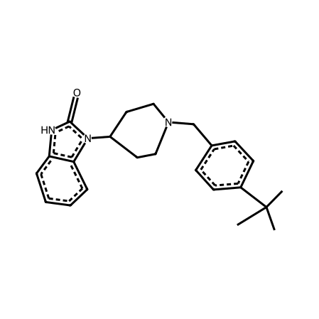 CC(C)(C)c1ccc(CN2CCC(n3c(=O)[nH]c4ccccc43)CC2)cc1